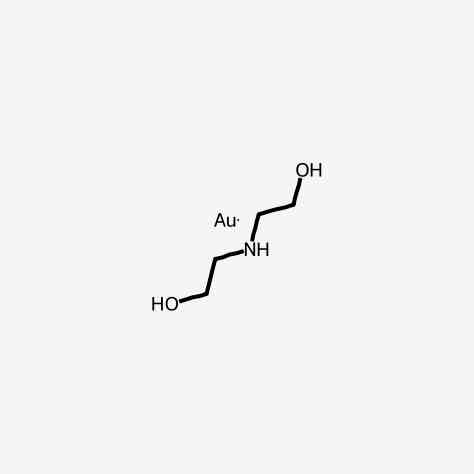 OCCNCCO.[Au]